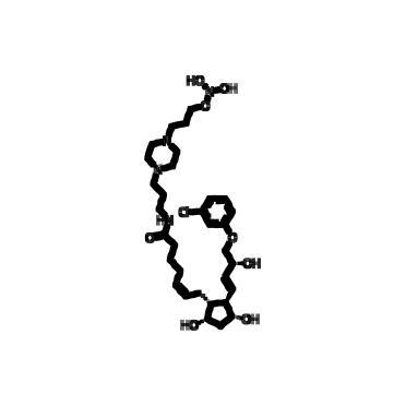 O=C(CCC/C=C\C[C@@H]1[C@@H](/C=C/[C@@H](O)COc2cccc(Cl)c2)[C@H](O)C[C@@H]1O)NCCCN1CCN(CCCON(O)O)CC1